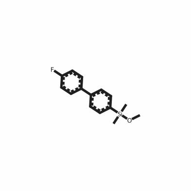 CO[Si](C)(C)c1ccc(-c2ccc(F)cc2)cc1